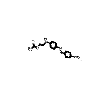 CCC(=O)OCCN(CC)c1ccc(/N=N/c2ccc([N+](=O)[O-])cc2)cc1